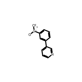 [O-][S+](c1c[c]cc(-c2cccnc2)c1)C(F)(F)F